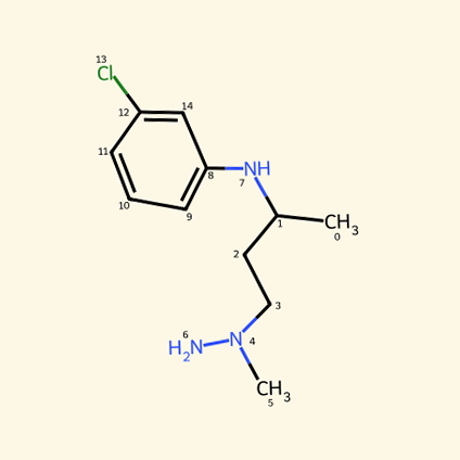 CC(CCN(C)N)Nc1cccc(Cl)c1